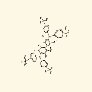 Fc1c(F)c(N(c2ccc(C(F)(F)F)cc2)c2ccc(C(F)(F)F)cc2)c(F)c(F)c1-c1c(F)c(F)c(N(c2ccc(C(F)(F)F)cc2)c2ccc(C(F)(F)F)cc2)c(F)c1F